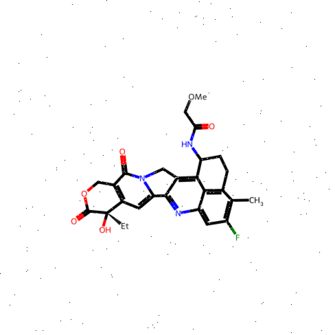 CC[C@@]1(O)C(=O)OCc2c1cc1n(c2=O)Cc2c-1nc1cc(F)c(C)c3c1c2C(NC(=O)COC)CC3